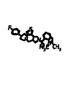 Cc1cc2cccc(C(=O)N3CC(CN4CCC(c5ccc(F)cc5)CC4)C(c4ccsc4)C3)c2n1C